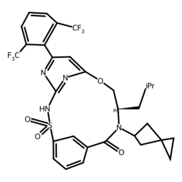 CC(C)C[C@@H]1COc2cc(-c3c(C(F)(F)F)cccc3C(F)(F)F)nc(n2)NS(=O)(=O)c2cccc(c2)C(=O)N1C1CC2(CC2)C1